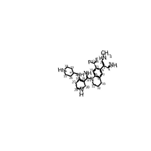 CN/C=C(\C=N)c1cc2c(cc1C(F)F)N(C(=N)C1=C(NC3CCNCC3)CCNC1)CCC2